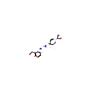 CSC1(NC(=O)Nc2nc3c4c(ccc3s2)OCC4)C=CN(C2COC2)CC1